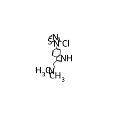 CN(C)CCc1c[nH]c2cc(N3C(Cl)=CN4C=CSC43)ccc12